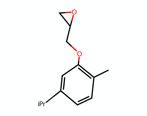 Cc1ccc(C(C)C)cc1OCC1CO1